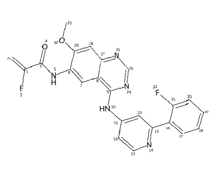 C=C(F)C(=O)Nc1cc2c(Nc3ccnc(-c4ccccc4F)c3)ncnc2cc1OC